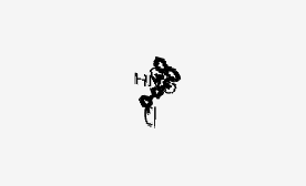 O=c1[nH]c2cc(-c3cccc(Cl)c3)ccc2c(=O)n1-c1cccc2ccccc12